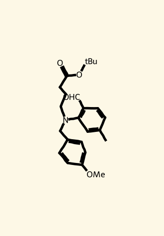 COc1ccc(CN(CCCC(=O)OC(C)(C)C)c2cc(C)ccc2C=O)cc1